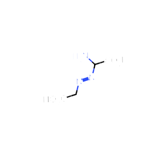 NC(/N=N/CC(=O)O)C(=O)O